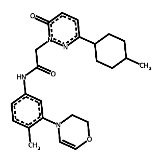 Cc1ccc(NC(=O)Cn2nc(C3CCC(C)CC3)ccc2=O)cc1N1C=COCC1